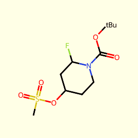 CC(C)(C)OC(=O)N1CCC(OS(C)(=O)=O)CC1F